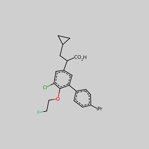 CC(C)c1ccc(-c2cc(C(CC3CC3)C(=O)O)cc(Cl)c2OCCF)cc1